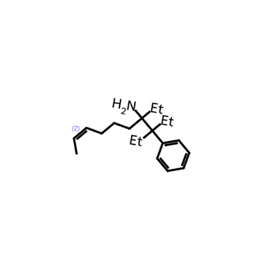 C/C=C\CCCC(N)(CC)C(CC)(CC)c1ccccc1